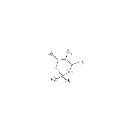 CC1NC(C)(C)CC(O)C1C